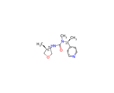 C[C@@H]1COC[C@@H]1NC(=O)N(C)[C@@H](C)c1ccncc1